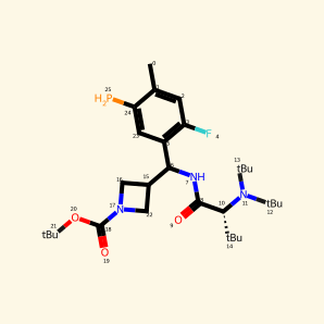 Cc1cc(F)c(C(NC(=O)[C@H](N(C(C)(C)C)C(C)(C)C)C(C)(C)C)C2CN(C(=O)OC(C)(C)C)C2)cc1P